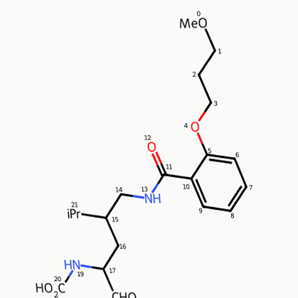 COCCCOc1ccccc1C(=O)NCC(CC(C=O)NC(=O)O)C(C)C